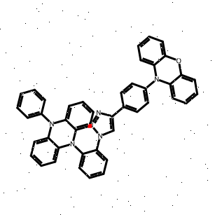 c1ccc(N2c3ccccc3N(c3ccccc3-n3cc(-c4ccc(N5c6ccccc6Oc6ccccc65)cc4)nn3)c3ccccc32)cc1